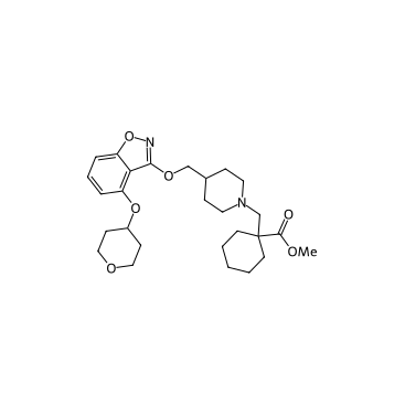 COC(=O)C1(CN2CCC(COc3noc4cccc(OC5CCOCC5)c34)CC2)CCCCC1